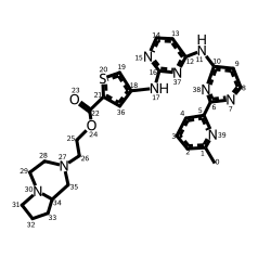 Cc1cccc(-c2nccc(Nc3ccnc(Nc4csc(C(=O)OCCN5CCN6CCCC6C5)c4)n3)n2)n1